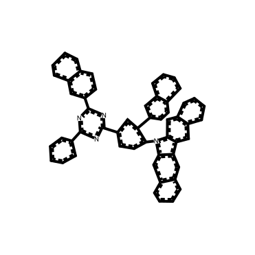 c1ccc(-c2nc(-c3ccc(-n4c5cc6ccccc6cc5c5cc6ccccc6cc54)c(-c4ccc5ccccc5c4)c3)nc(-c3ccc4ccccc4c3)n2)cc1